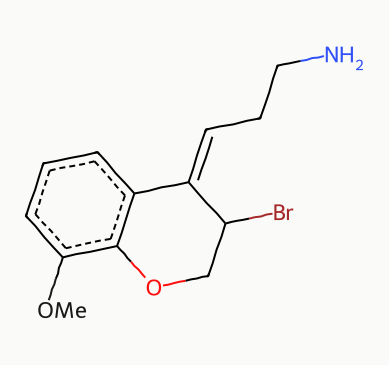 COc1cccc2c1OCC(Br)C2=CCCN